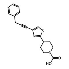 O=C(O)N1CCC(c2nc(C#CCc3ccccc3)cs2)CC1